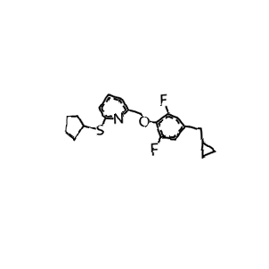 Fc1cc(CC2CC2)cc(F)c1OCc1cccc(SC2CCCC2)n1